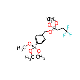 CO[Si](CCC(F)(F)F)(OC)OCc1ccc([Si](OC)(OC)OC)cc1